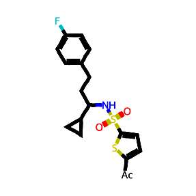 CC(=O)c1ccc(S(=O)(=O)NC(CCc2ccc(F)cc2)C2CC2)s1